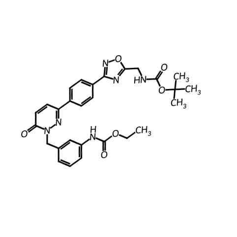 CCOC(=O)Nc1cccc(Cn2nc(-c3ccc(-c4noc(CNC(=O)OC(C)(C)C)n4)cc3)ccc2=O)c1